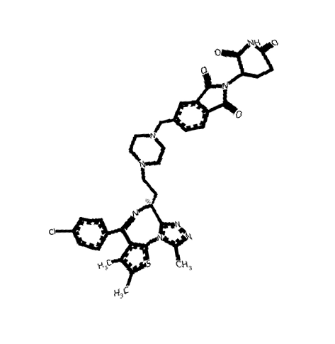 Cc1sc2c(c1C)C(c1ccc(Cl)cc1)=N[C@@H](CCN1CCN(Cc3ccc4c(c3)C(=O)N(C3CCC(=O)NC3=O)C4=O)CC1)c1nnc(C)n1-2